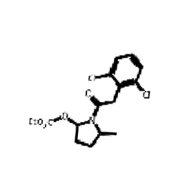 CCOC(=O)OC1CCC(C)N1C(=O)Cc1c(Cl)cccc1Cl